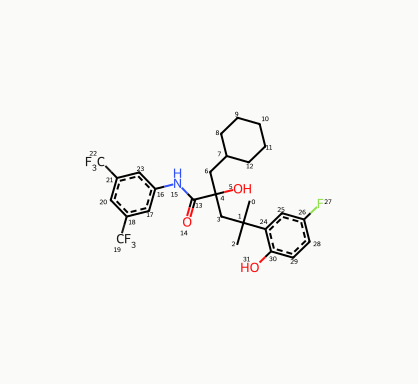 CC(C)(CC(O)(CC1CCCCC1)C(=O)Nc1cc(C(F)(F)F)cc(C(F)(F)F)c1)c1cc(F)ccc1O